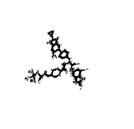 Cc1cc2[nH]c(C3CC3)nc2cc1-c1ccc(C[C@H](NC(=O)C2CCC(CNC(=O)OC(C)(C)C)CC2)C(=O)Nc2cc(F)c3[nH]c(=O)[nH]c3c2)cc1